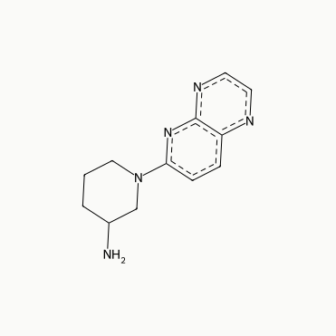 NC1CCCN(c2ccc3nccnc3n2)C1